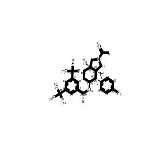 CC(=O)N1C[C@@H]2CC[C@H](O[C@H](C)c3cc(C(F)(F)F)cc(C(F)(F)F)c3)[C@@H](c3ccc(F)cc3)[C@@H]2C1